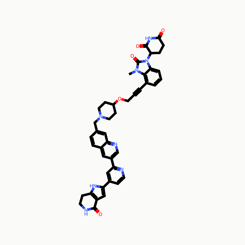 Cn1c(=O)n(C2CCC(=O)NC2=O)c2cccc(C#CCOC3CCN(Cc4ccc5cc(-c6cc(-c7cc8c([nH]7)CCNC8=O)ccn6)cnc5c4)CC3)c21